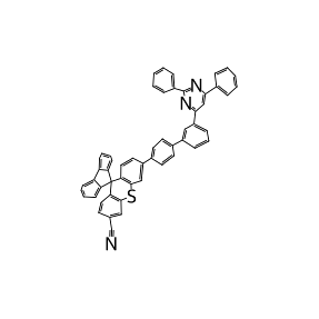 N#Cc1ccc2c(c1)Sc1cc(-c3ccc(-c4cccc(-c5cc(-c6ccccc6)nc(-c6ccccc6)n5)c4)cc3)ccc1C21c2ccccc2-c2ccccc21